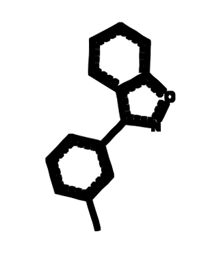 Cc1cccc(-c2noc3ccccc23)c1